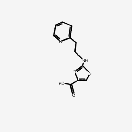 O=C(O)c1csc(NCCc2ccccn2)n1